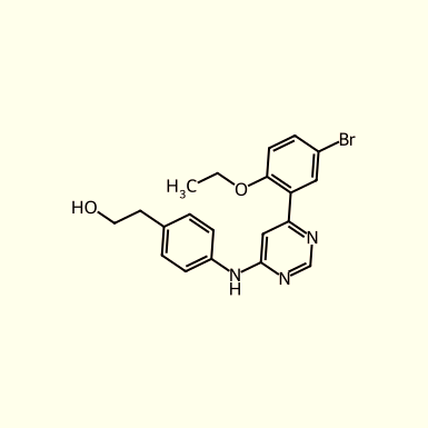 CCOc1ccc(Br)cc1-c1cc(Nc2ccc(CCO)cc2)ncn1